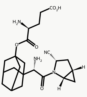 N#C[C@@H]1C[C@@H]2C[C@@H]2N1C(=O)[C@@H](N)C12CC3CC(CC(OC(=O)[C@@H](N)CCC(=O)O)(C3)C1)C2